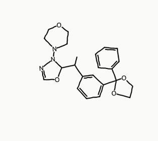 CC(c1cccc(C2(c3ccccc3)OCCO2)c1)C1OC=NN1N1CCOCC1